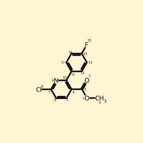 COC(=O)c1ccc(Cl)nc1-c1ccc(F)cc1